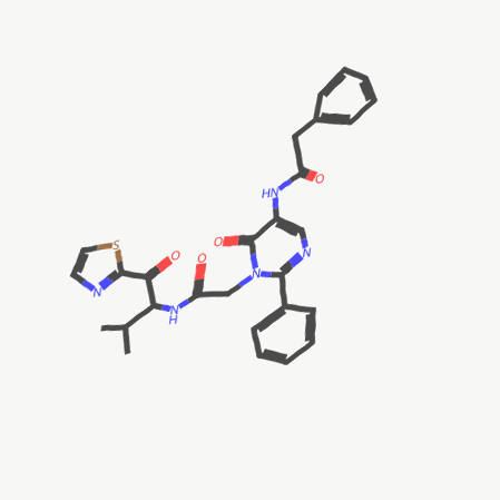 CC(C)C(NC(=O)Cn1c(-c2ccccc2)ncc(NC(=O)Cc2ccccc2)c1=O)C(=O)c1nccs1